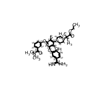 CCOC(=O)C(C)(C)N1CCN(c2c(F)c(Oc3cccc(C(=O)N(C)C)c3)nc(Oc3cc(C(=N)N)ccc3O)c2F)CC1